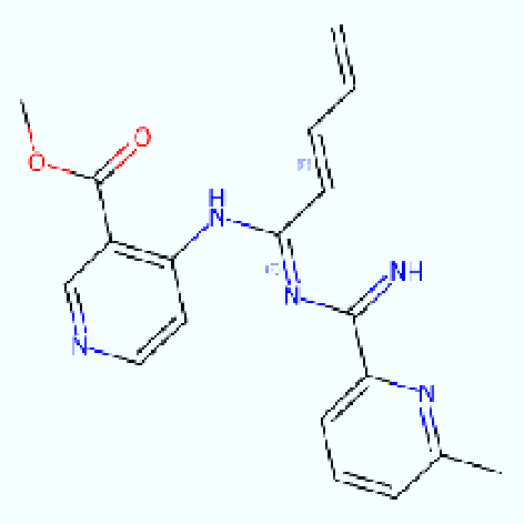 C=C/C=C/C(=N\C(=N)c1cccc(C)n1)Nc1ccncc1C(=O)OC